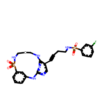 O=S(=O)(NCCC#Cc1cnc2nc1NCCCNS(=O)(=O)c1cccc(c1)N2)c1cccc(F)c1